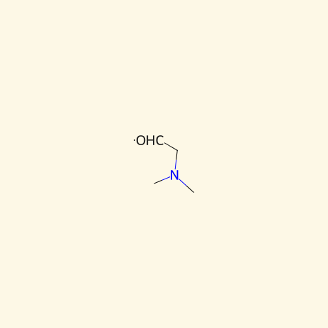 CN(C)C[C]=O